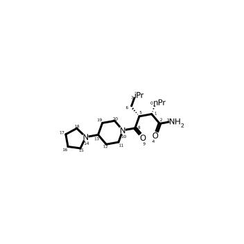 CCC[C@H](C(N)=O)[C@@H](CC(C)C)C(=O)N1CCC(N2CCCC2)CC1